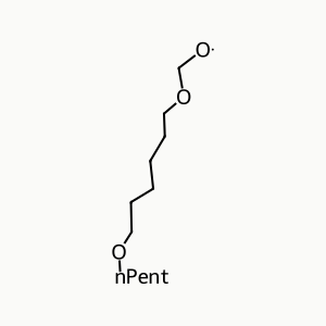 CCCCCOCCCCCCOC[O]